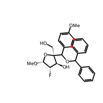 COc1ccc(C(OC(c2ccccc2)c2ccccc2)[C@]2(CO)O[C@@H](OC)[C@@H](F)[C@@H]2O)cc1